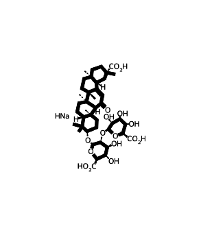 CC1(C)[C@@H](O[C@H]2O[C@H](C(=O)O)[C@@H](O)[C@H](O)[C@H]2O[C@@H]2O[C@H](C(=O)O)[C@@H](O)[C@H](O)[C@H]2O)CC[C@]2(C)[C@H]3C(=O)C=C4[C@@H]5C[C@@](C)(C(=O)O)CC[C@]5(C)CC[C@@]4(C)[C@]3(C)CC[C@@H]12.[NaH]